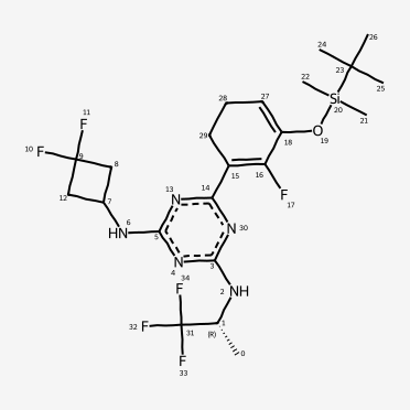 C[C@@H](Nc1nc(NC2CC(F)(F)C2)nc(C2=C(F)C(O[Si](C)(C)C(C)(C)C)=CCC2)n1)C(F)(F)F